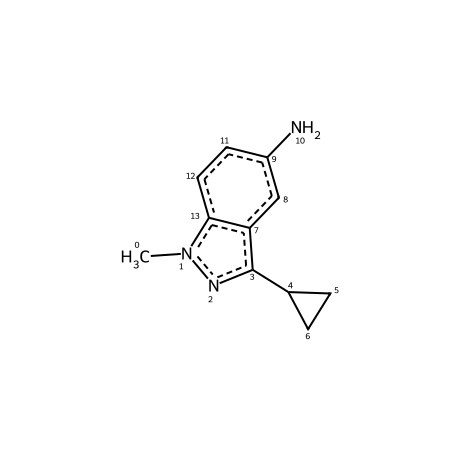 Cn1nc(C2CC2)c2cc(N)ccc21